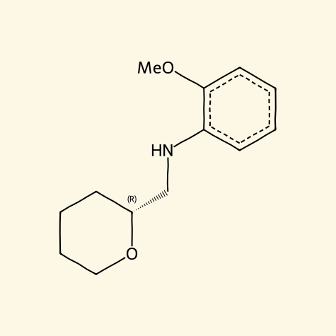 COc1ccccc1NC[C@H]1CCCCO1